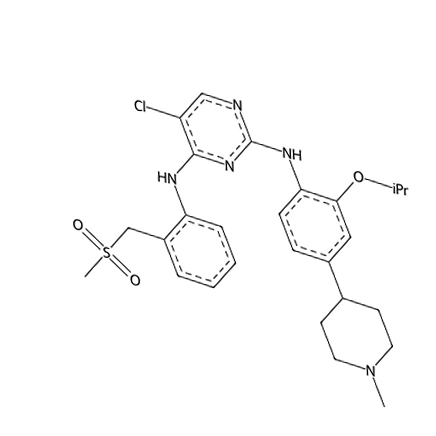 CC(C)Oc1cc(C2CCN(C)CC2)ccc1Nc1ncc(Cl)c(Nc2ccccc2CS(C)(=O)=O)n1